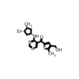 CC[C@H]1C[C@@H](Nc2ncncc2C(=O)c2cc(CO)c(C)s2)C[C@@H]1C